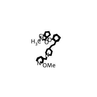 COc1ncccc1CN1CCC(CCc2ccccc2OC2(C(=O)N(C)C)CCCC2)CC1